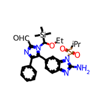 CCOC(n1c(C=O)nc(-c2ccccc2)c1-c1ccc2nc(N)n(S(=O)(=O)C(C)C)c2c1)[Si](C)(C)C